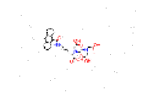 O=C(O)CN(CCN(CC(=O)O)[C@@H](CCCCNC(=O)c1c2ccccc2cc2ccccc12)C(=O)O)CC(=O)O